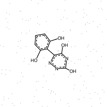 Oc1nnc(-c2c(O)cccc2O)c(O)n1